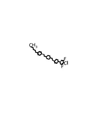 CCCCCCc1ccc(CCC2CCC(CCc3ccc(-c4cc(F)c(Cl)c(F)c4)cc3)CC2)cc1